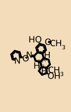 COc1cc2c(cc1O)C(=NOc1ccccn1)C[C@@H]1[C@@H]2CC[C@]2(C)[C@@H](O)CC[C@@H]12